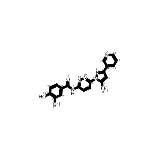 O=C(Nc1ccc(-n2nc(-c3cccnc3)cc2C(F)(F)F)nn1)c1ccc(O)c(O)c1